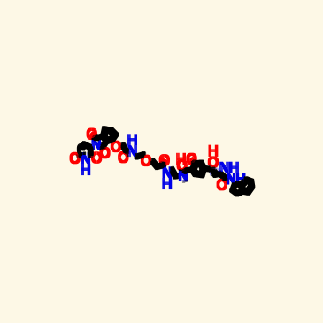 CN(CCNC(=O)CCOCCNC(=O)COc1cccc2c1C(=O)N(C1CCC(=O)NC1=O)C2=O)C(=O)c1ccc(/C(O)=C/C(=N)C(=O)NC2CCc3ccccc32)cc1O